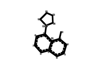 Cc1cccc2cccc(N3CCCC3)c12